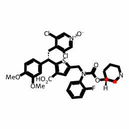 COc1ccc([C@H](Cc2c(Cl)c[n+]([O-])cc2Cl)c2sc(CN(C(=O)O[C@H]3CN4CCC3CC4)c3ccccc3F)cc2C(=O)O)cc1OC